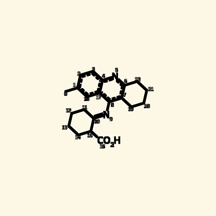 Cc1ccc2nc3c(c(N=C4CCCCC4C(=O)O)c2c1)CCCC3